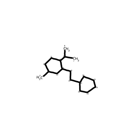 CC1CCC(C(C)C)C(CCC2CCCCC2)C1